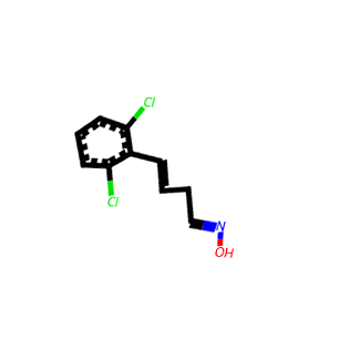 ON=CCC=Cc1c(Cl)cccc1Cl